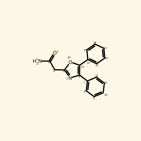 NC(=O)Cc1nc(-c2ccccc2)c(-c2ccccc2)o1